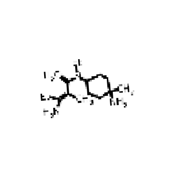 C=C(/C(C)=C(/N)CC)N(CC)C1CCC(C)(N)CC1